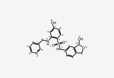 O=S(=O)(Nc1ccc2c(c1)B(O)OC2)c1ccc(O)cc1NCc1cccnc1